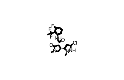 CN1C[C@H](C2=CC(Cl)NN2C)[C@@H](C(=O)Nc2cccc(F)c2C(C)(F)F)C1=O